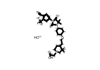 CC1(C)C(=O)N(c2ccc(C#N)c(C(F)(F)F)c2)C(=S)N1[C@H]1CC[C@H](OCCC2CCN(CC(=O)O)CC2(F)F)CC1.Cl